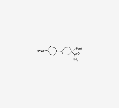 CCCCCC1CCC(C2CCC(CCCCC)(C(N)=O)CC2)CC1